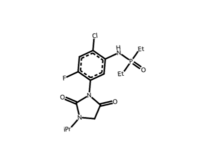 CCP(=O)(CC)Nc1cc(N2C(=O)CN(C(C)C)C2=O)c(F)cc1Cl